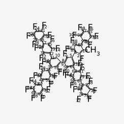 Cc1c(F)c(-c2c(F)c(-c3cc(-c4c(F)c(F)c(-c5c(F)c(F)c(F)c(F)c5F)c(F)c4F)c(F)c(-c4c(F)c(F)c(-c5c(F)c(F)c(F)c(F)c5F)c(F)c4F)c3F)c(F)c(-c3c(F)c(F)c(-c4c(F)c(F)c(F)c(F)c4F)c(F)c3F)c2F)c(F)c(F)c1-c1c(F)c(F)c(F)c(F)c1F